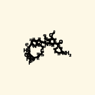 COc1cc(C(=O)N2CCC[C@@H](N)C2)cc2nc(-c3cc4ccc5nc4n3CCC/C=C/C[C@](C)(C(F)(F)F)C(=O)N[C@@H]5C)n(C)c12